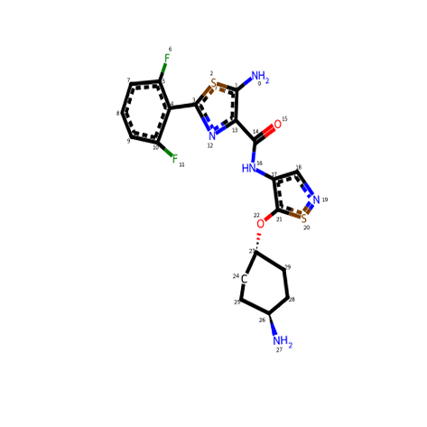 Nc1sc(-c2c(F)cccc2F)nc1C(=O)Nc1cnsc1O[C@H]1CC[C@H](N)CC1